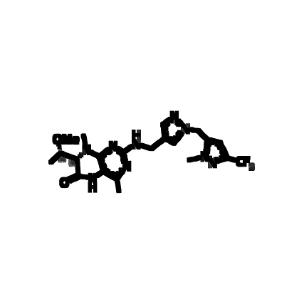 CO[C@@H](C)[C@H]1C(=O)Nc2c(C)nc(NCc3cnn(Cc4cc(C(F)(F)F)nn4C)c3)nc2N1C